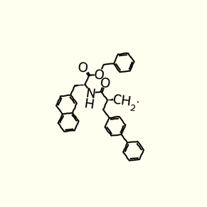 [CH2][C@@H](Cc1ccc(-c2ccccc2)cc1)C(=O)N[C@@H](Cc1ccc2ccccc2c1)C(=O)OCc1ccccc1